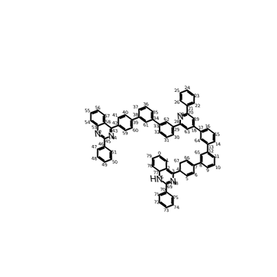 C1=CC2=C(C3C=CC(c4cccc(-c5cccc(-c6cc(-c7ccccc7)nc(-c7cccc(-c8cccc(-c9ccc(-c%10nc(-c%11ccccc%11)nc%11ccccc%10%11)cc9)c8)c7)c6)c5)c4)=CC3)N=C(c3ccccc3)NC2C=C1